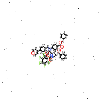 O=C(OCc1ccccc1)c1ccc(N(Cc2ccc(C3CCOCC3)cc2)C(=O)[C@H]2CCCN2S(=O)(=O)c2c(F)c(F)c(F)c(F)c2F)cc1OCc1ccccc1